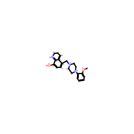 COc1ccccc1N1CCN(Cc2ccc(O)c3c2=CCCN=3)CC1